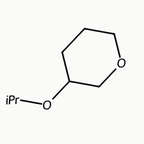 CC(C)OC1CCCOC1